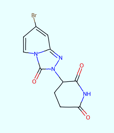 O=C1CCC(n2nc3cc(Br)ccn3c2=O)C(=O)N1